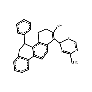 CCCC1=C(C2N=C(C=O)N=CS2)c2ccc3c(c2CC1)C(c1ccccc1)Cc1ccccc1-3